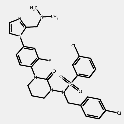 CN(C)Cc1nccn1-c1ccc(N2CCCN(N(Cc3ccc(Cl)cc3)S(=O)(=O)c3cccc(Cl)c3)C2=O)c(F)c1